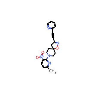 Cc1ccc([N+](=O)[O-])c(N2CCC3(CC2)CC(C#Cc2ccccn2)=NO3)n1